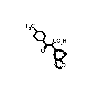 O=C(O)C(C(=O)C1CCC(C(F)(F)F)CC1)c1ccc2ocnc2c1